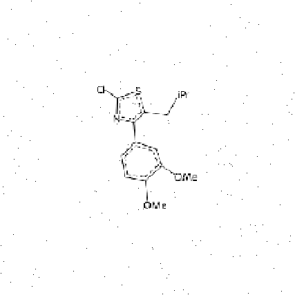 COc1ccc(-c2nc(Cl)sc2CC(C)C)cc1OC